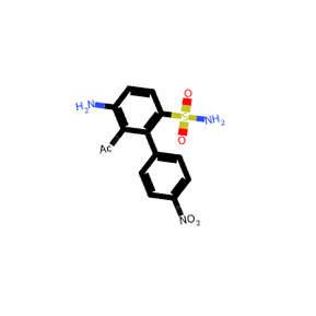 CC(=O)c1c(N)ccc(S(N)(=O)=O)c1-c1ccc([N+](=O)[O-])cc1